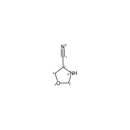 N#CC1CO[CH]N1